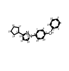 c1ccc(Oc2ccc(-n3ccc(C4CCCC4)n3)cc2)cc1